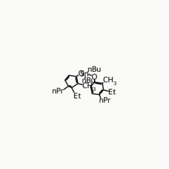 CCC[CH2][Sn]([CH2]CCC)([O]c1ccc(CCC)c(CC)c1C)[O]c1ccc(CCC)c(CC)c1C